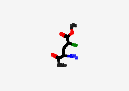 CCCCOC(=O)C(Br)CC(N)C(=O)OC